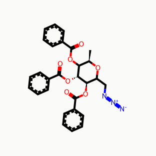 C[C@H]1OC(CN=[N+]=[N-])[C@@H](OC(=O)c2ccccc2)[C@H](OC(=O)c2ccccc2)C1OC(=O)c1ccccc1